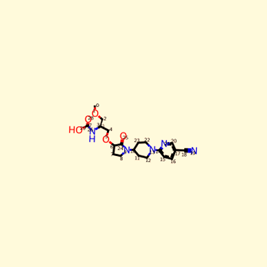 COC[C@@H](COC1CCN(C2CCN(c3ccc(C#N)cn3)CC2)C1=O)NC(=O)O